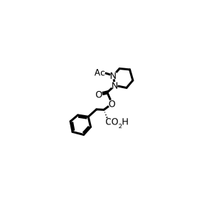 CC(=O)N1CCCCN1C(=O)O[C@@H](Cc1ccccc1)C(=O)O